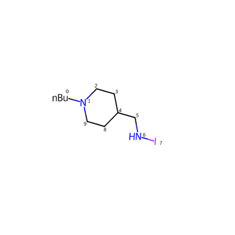 CCCCN1CCC(CNI)CC1